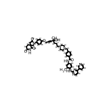 Cc1cc(NC(=O)c2ccc(CN3CCN(CCCC(C)(O)C#CCOc4ccc(N5CC6(CCC(=O)NC6=O)CC5=O)cc4)CC3)cc2)ccc1Nc1nccc(-c2cccnc2)n1